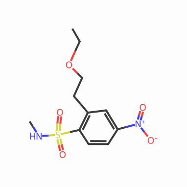 CCOCCc1cc([N+](=O)[O-])ccc1S(=O)(=O)NC